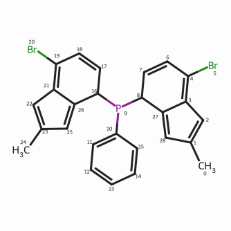 CC1=CC2=C(Br)C=CC(P(c3ccccc3)C3C=CC(Br)=C4C=C(C)C=C43)C2=C1